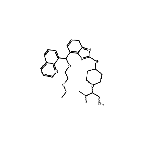 CCOCCOC(C1=C2N=C(NC3CCN(C(CN)C(C)C)CC3)N=C2CC=C1)c1cccc2cccnc12